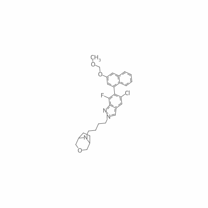 COCOc1cc(-c2c(Cl)cc3cn(CCCCN4C5CCC4COC5)nc3c2F)c2ccccc2c1